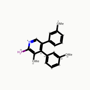 COc1cccc(-c2cnc(P)c(OC)c2-c2cccc(OC)c2)c1